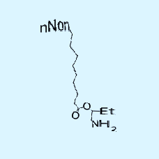 CCCCCCCCCCCCCCCCCC(=O)OC(CC)CN